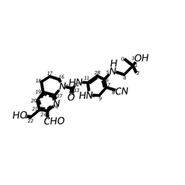 CC(C)(O)CNC1=C(C#N)CNC(NC(=O)N2CCCc3cc(CO)c(C=O)nc32)=C1